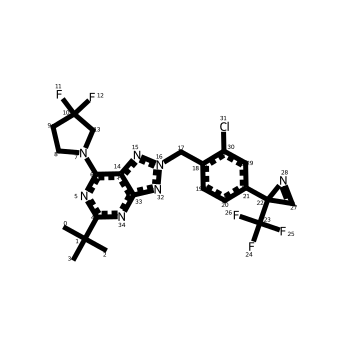 CC(C)(C)c1nc(N2CCC(F)(F)C2)c2nn(Cc3ccc(C4(C(F)(F)F)C=N4)cc3Cl)nc2n1